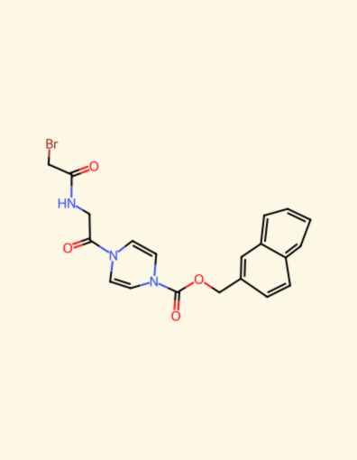 O=C(CBr)NCC(=O)N1C=CN(C(=O)OCc2ccc3ccccc3c2)C=C1